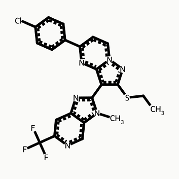 CCSc1nn2ccc(-c3ccc(Cl)cc3)nc2c1-c1nc2cc(C(F)(F)F)ncc2n1C